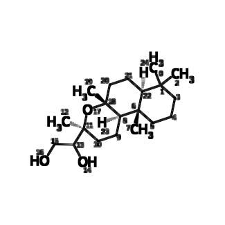 CC1(C)CCC[C@]2(C)[C@H]3CC[C@@](C)(C(O)CO)O[C@]3(C)CC[C@@H]12